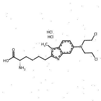 Cl.Cl.Cn1c(CCCC[C@H](N)C(=O)O)nc2cc(N(CCCl)CCCl)ccc21